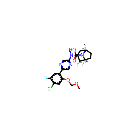 COCOc1cc(Cl)c(F)cc1-c1cnc(N(C)[C@@H]2C[C@@]3(C)CC[C@@](C)([C@@H]2F)N3C(=O)O)cn1